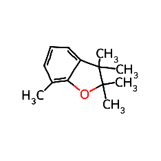 Cc1cccc2c1OC(C)(C)C2(C)C